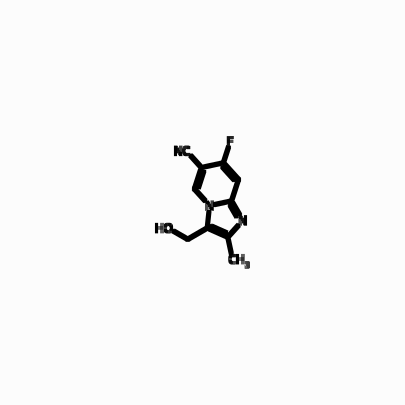 Cc1nc2cc(F)c(C#N)cn2c1CO